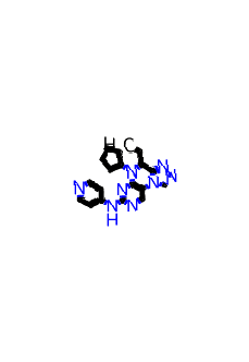 CCC1c2nncn2-c2cnc(Nc3ccncc3)nc2N1C1CCCC1